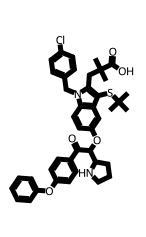 CC(C)(C)Sc1c(CC(C)(C)C(=O)O)n(Cc2ccc(Cl)cc2)c2ccc(OC(C(=O)c3ccc(Oc4ccccc4)cc3)C3CCCN3)cc12